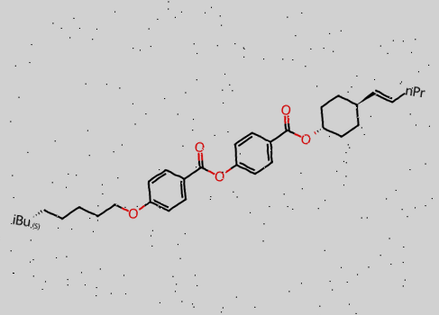 CCCC=C[C@H]1CC[C@H](OC(=O)c2ccc(OC(=O)c3ccc(OCCCCC[C@@H](C)CC)cc3)cc2)CC1